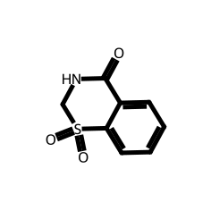 O=C1NCS(=O)(=O)c2ccccc21